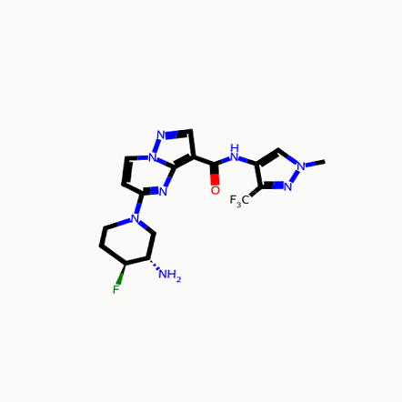 Cn1cc(NC(=O)c2cnn3ccc(N4CC[C@H](F)[C@@H](N)C4)nc23)c(C(F)(F)F)n1